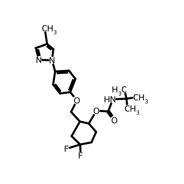 Cc1cnn(-c2ccc(OCC3CC(F)(F)CCC3OC(=O)NC(C)(C)C)cc2)c1